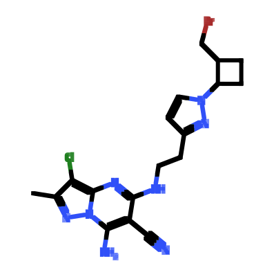 Cc1nn2c(N)c(C#N)c(NCCc3ccn(C4CCC4CBr)n3)nc2c1Cl